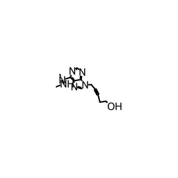 CNN(C)c1ncnc2c1ncn2CC#CCCO